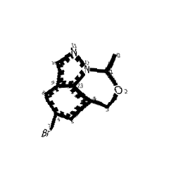 CC1OCc2cc(Br)cc3cnn1c23